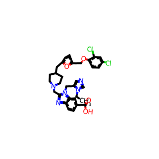 CCn1cncc1Cn1c(CN2CCC(Cc3ccc(COc4ccc(Cl)cc4Cl)o3)CC2)nc2ccc(C(=O)O)cc21